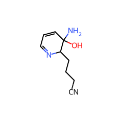 N#CCCCC1N=CC=CC1(N)O